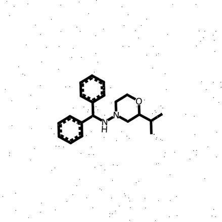 [CH2]C(C)C1CN(NC(c2ccccc2)c2ccccc2)CCO1